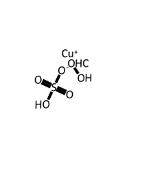 O=CO.O=S(=O)([O-])O.[Cu+]